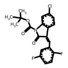 CC(C)(C)OC(=O)N1C(=O)/C(=C\c2cc(F)ccc2F)c2ccc(Cl)cc21